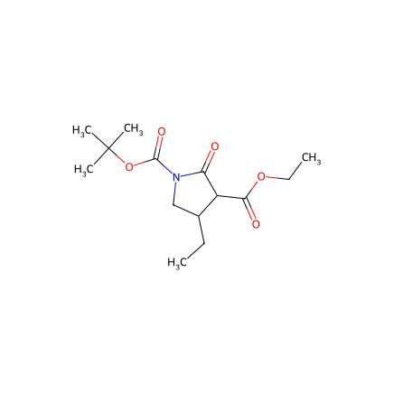 CCOC(=O)C1C(=O)N(C(=O)OC(C)(C)C)CC1CC